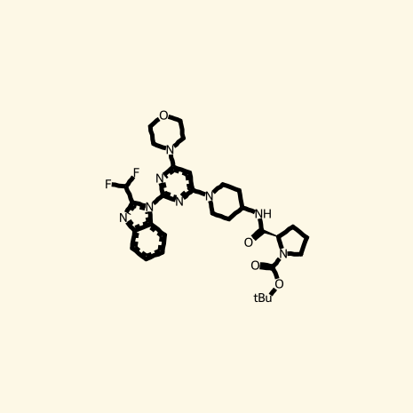 CC(C)(C)OC(=O)N1CCC[C@@H]1C(=O)NC1CCN(c2cc(N3CCOCC3)nc(-n3c(C(F)F)nc4ccccc43)n2)CC1